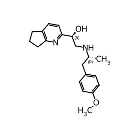 COc1ccc(C[C@@H](C)NC[C@H](O)c2ccc3c(n2)CCC3)cc1